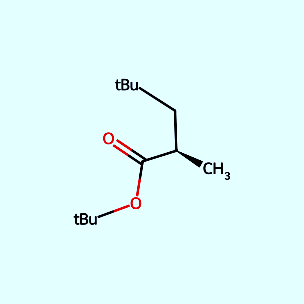 C[C@H](CC(C)(C)C)C(=O)OC(C)(C)C